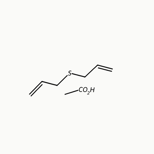 C=CCSCC=C.CC(=O)O